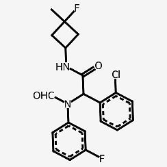 CC1(F)CC(NC(=O)C(c2ccccc2Cl)N(C=O)c2cccc(F)c2)C1